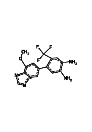 COc1cc(-c2cc(N)c(N)cc2C(F)(F)F)cn2ncnc12